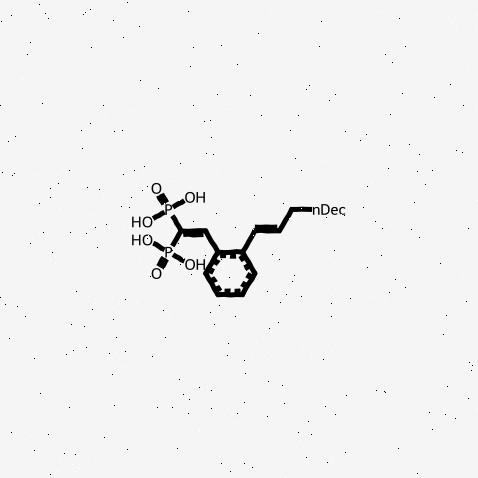 CCCCCCCCCCCC=Cc1ccccc1C=C(P(=O)(O)O)P(=O)(O)O